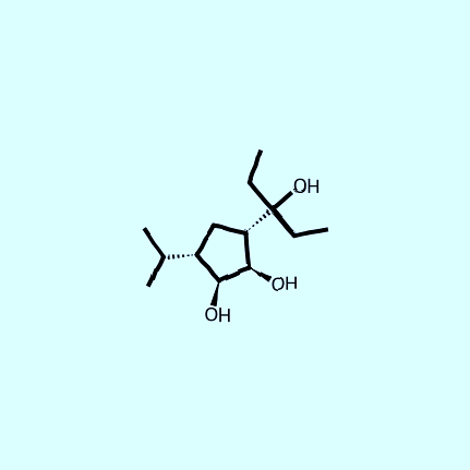 CCC(O)(CC)[C@H]1C[C@@H](C(C)C)[C@H](O)[C@@H]1O